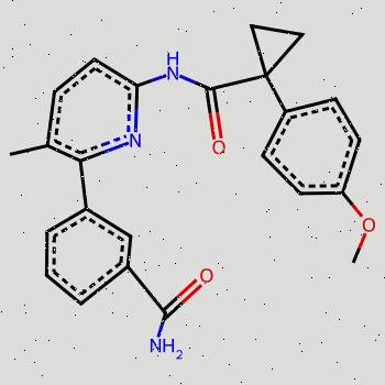 COc1ccc(C2(C(=O)Nc3ccc(C)c(-c4cccc(C(N)=O)c4)n3)CC2)cc1